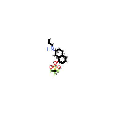 CCCN[C@@H]1CCc2cccc(OS(=O)(=O)C(F)(F)F)c2C1